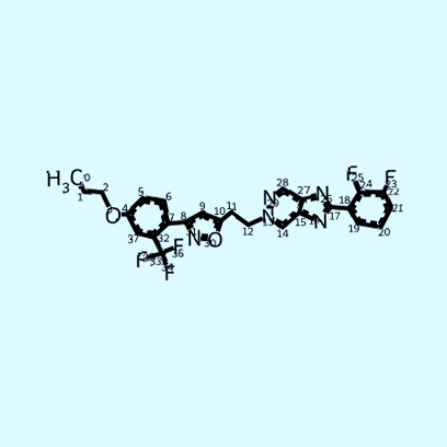 CCCOc1ccc(-c2cc(CCn3cc4nc(-c5cccc(F)c5F)nc-4cn3)on2)c(C(F)(F)F)c1